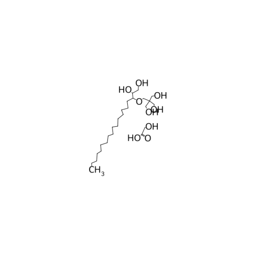 CCCCCCCCCCCCCCCCC(OCC(CO)(CO)CO)C(O)CO.O=C(O)CO